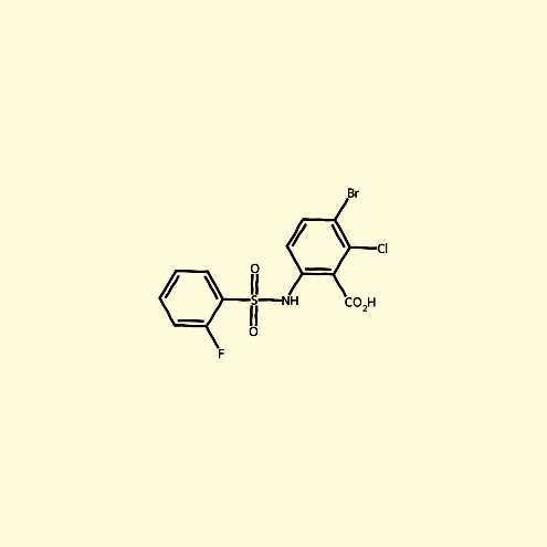 O=C(O)c1c(NS(=O)(=O)c2ccccc2F)ccc(Br)c1Cl